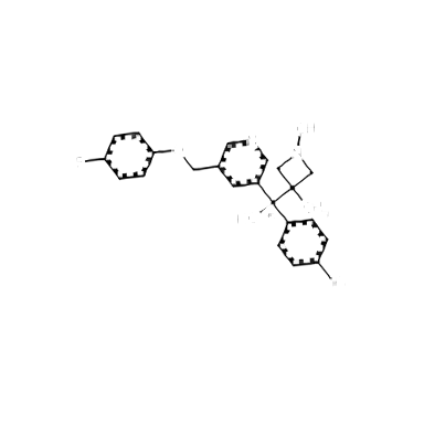 CC(C)c1ccc([C@](O)(c2cncc(COc3ccc(F)cc3)c2)C2(C)CN(C)C2)cc1